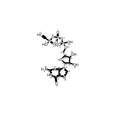 C#CP(=O)(O)OP(=O)(O)OP(=O)(O)OC[C@H]1O[C@@H](n2cnc3c(=O)[nH]c(N)nc32)C(O)C1O